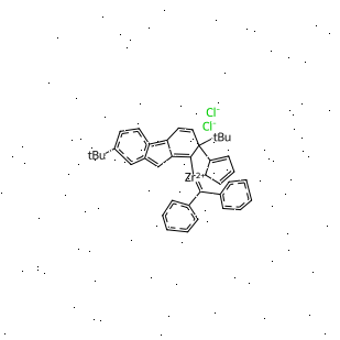 CC(C)(C)c1ccc2c(c1)=CC1=[C]([Zr+2]=[C](c3ccccc3)c3ccccc3)C(C3=CC=CC3)(C(C)(C)C)C=CC=21.[Cl-].[Cl-]